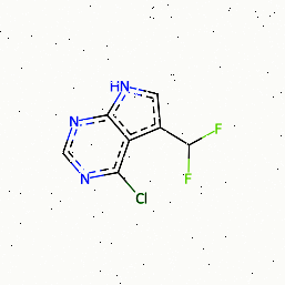 FC(F)c1c[nH]c2ncnc(Cl)c12